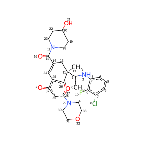 CC(Nc1cccc(Cl)c1F)[C@]1(C)CC(C(=O)N2CCC(O)CC2)=Cc2c1oc(N1CCOCC1)cc2=O